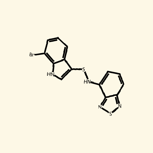 Brc1cccc2c(SNc3cccc4nsnc34)c[nH]c12